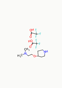 CN(C)CCOC1CCNCC1.O=C(O)C(F)(F)F.O=C(O)C(F)(F)F